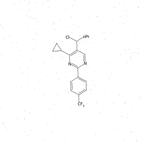 CCCC(Cl)c1cnc(-c2ccc(C(F)(F)F)cc2)nc1C1CC1